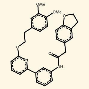 COc1ccc(CCOc2cccc(-c3cccc(NC(=O)Cc4ccc5c(c4)CCO5)c3)n2)cc1OC